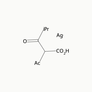 CC(=O)C(C(=O)O)C(=O)C(C)C.[Ag]